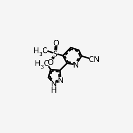 Cc1c[nH]nc1-c1nc(C#N)ccc1S(C)(=O)=O